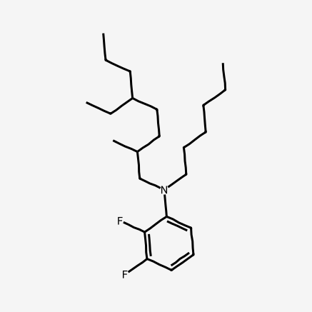 CCCCCCN(CC(C)CCC(CC)CCC)c1cccc(F)c1F